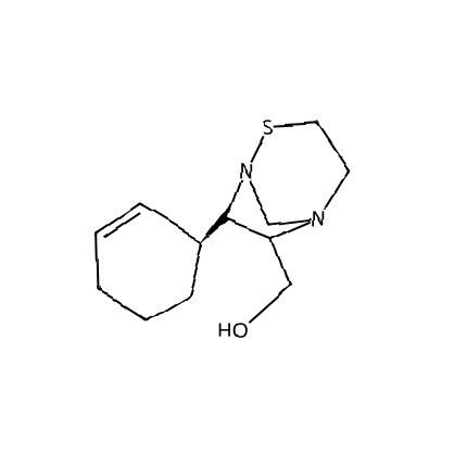 OCC1C([C@@H]2C=CCCC2)N2CN1CCS2